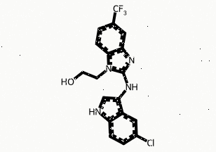 OCCn1c(Nc2c[nH]c3ccc(Cl)cc23)nc2cc(C(F)(F)F)ccc21